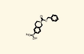 O=C(OCc1ccccc1)N1CCc2cc(B(O)O)ccc2C1